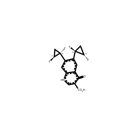 O=C(O)c1c[nH]c2cc([C@]3(F)C[C@@H]3F)c([C@]3(F)C[C@@H]3F)cc2c1=O